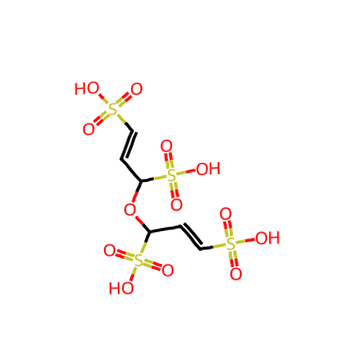 O=S(=O)(O)C=CC(OC(C=CS(=O)(=O)O)S(=O)(=O)O)S(=O)(=O)O